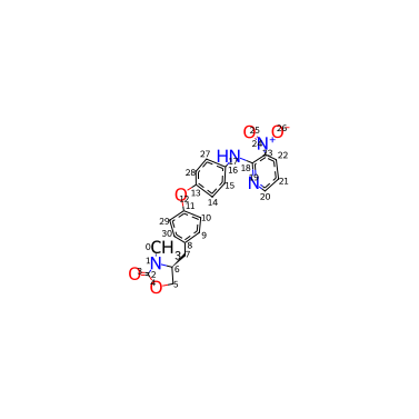 CN1C(=O)OC[C@@H]1Cc1ccc(Oc2ccc(Nc3ncccc3[N+](=O)[O-])cc2)cc1